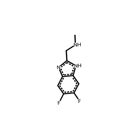 CNCc1nc2cc(F)c(F)cc2[nH]1